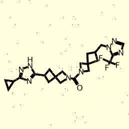 O=C(N1CC2(CC(Cn3ncnc3C(F)(F)F)C2)C1)N1CC2(CC(c3nc(C4CC4)n[nH]3)C2)C1